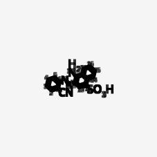 N#Cc1ccccc1N=Nc1cc(S(=O)(=O)O)c2ccccc2c1N